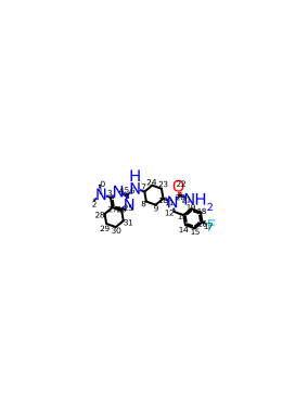 CN(C)c1nc(NC2CCC(N(Cc3ccc(F)cc3)C(N)=O)CC2)nc2c1CCCC2